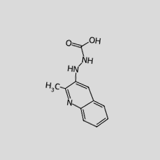 Cc1nc2ccccc2cc1NNC(=O)O